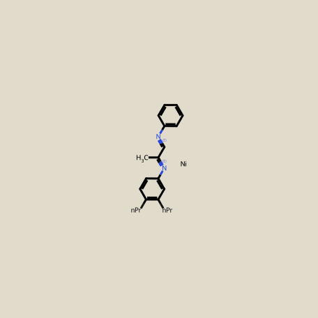 CCCc1ccc(/N=C(C)/C=N/c2ccccc2)cc1CCC.[Ni]